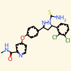 CNC(=O)c1cc(Oc2ccc(C3=NN(C(N)=S)C(c4cccc(Cl)c4Cl)C3)cc2)ccn1